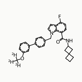 [2H]C([2H])([2H])Oc1cccc(-c2ccc(Cn3ccc4c(F)ccc(C(=O)NC5CC6(CCC6)C5)c43)cc2)c1